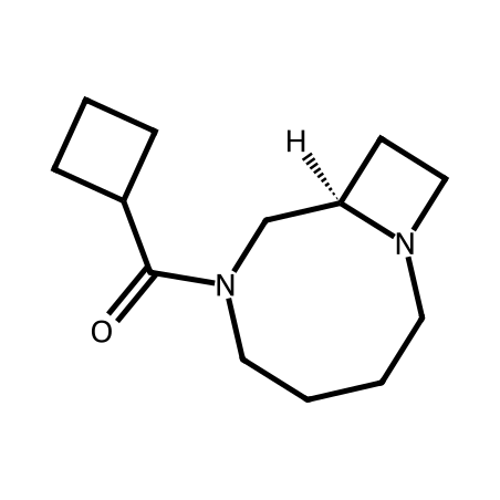 O=C(C1CCC1)N1CCCCN2CC[C@@H]2C1